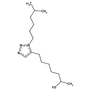 CC(C)CCCCn1nncc1CCCCCC(C)S